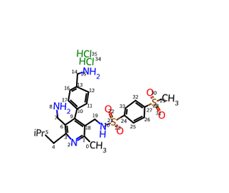 Cc1nc(CC(C)C)c(CN)c(-c2ccc(CN)cc2)c1CNS(=O)(=O)c1ccc(S(C)(=O)=O)cc1.Cl.Cl